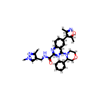 Cc1nn(C)cc1CNC(=O)c1nc(N2CCOCC2c2ccccc2)c2cc(-c3c(C)noc3C)ccc2n1